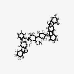 N#Cc1cc(-n2c3ccccc3c3cc4c(cc32)oc2ccccc24)ccc1-c1ccc(-n2c3ccccc3c3cc4c(cc32)oc2ccccc24)cc1